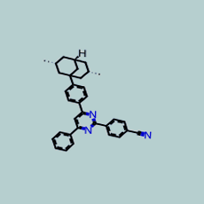 C[C@@H]1C[C@@H]2C[C@H](C)CC(c3ccc(-c4cc(-c5ccccc5)nc(-c5ccc(C#N)cc5)n4)cc3)(C1)C2